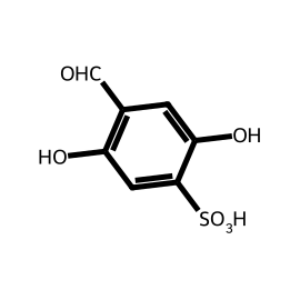 O=Cc1cc(O)c(S(=O)(=O)O)cc1O